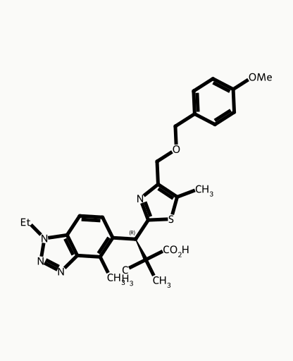 CCn1nnc2c(C)c([C@@H](c3nc(COCc4ccc(OC)cc4)c(C)s3)C(C)(C)C(=O)O)ccc21